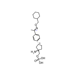 C/C(=N\OCC1CCCCC1)c1ccc([C@@H]2CC[C@](N)(COP(=O)(O)O)C2)cc1